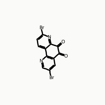 O=C1C(=O)c2nc(Br)ccc2-c2ncc(Br)cc21